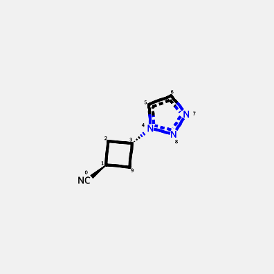 N#C[C@H]1C[C@H](n2ccnn2)C1